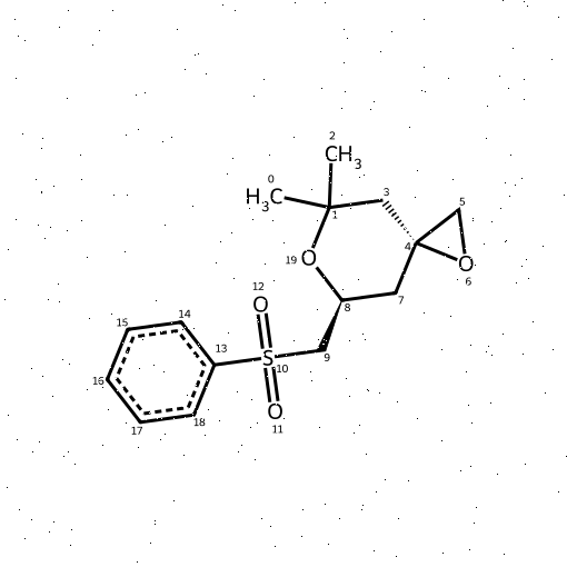 CC1(C)C[C@@]2(CO2)C[C@@H](CS(=O)(=O)c2ccccc2)O1